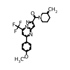 C=C1CCCN(C(=O)c2cc3nc(-c4ccc(OC)cc4)cc(C(F)(F)F)n3n2)C1